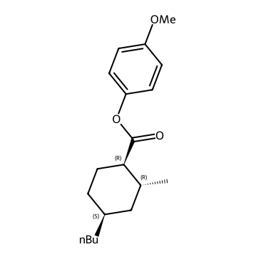 CCCC[C@H]1CC[C@@H](C(=O)Oc2ccc(OC)cc2)[C@H](C)C1